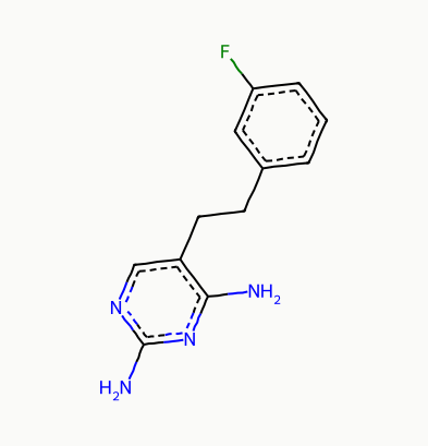 Nc1ncc(CCc2cccc(F)c2)c(N)n1